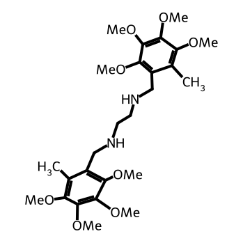 COc1c(C)c(CNCCNCc2c(C)c(OC)c(OC)c(OC)c2OC)c(OC)c(OC)c1OC